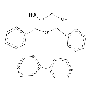 OCCO.c1ccc(-c2ccccc2)cc1.c1ccc(COCc2ccccc2)cc1